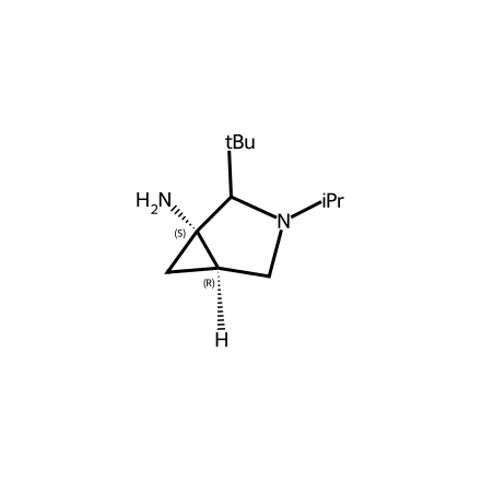 CC(C)N1C[C@H]2C[C@@]2(N)C1C(C)(C)C